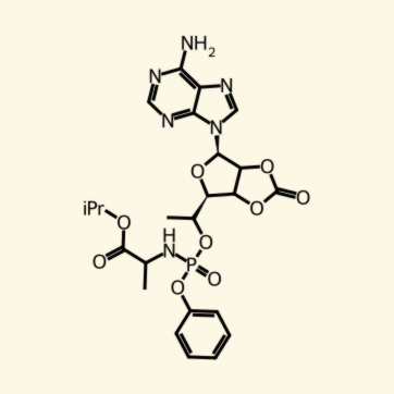 CC(C)OC(=O)C(C)NP(=O)(Oc1ccccc1)OC(C)[C@H]1O[C@@H](n2cnc3c(N)ncnc32)C2OC(=O)OC21